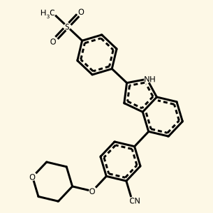 CS(=O)(=O)c1ccc(-c2cc3c(-c4ccc(OC5CCOCC5)c(C#N)c4)cccc3[nH]2)cc1